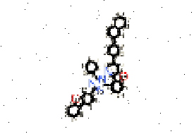 c1ccc(-c2nc(-c3ccc4c(c3)oc3ccccc34)nc(-c3cccc4oc5cc(-c6ccc(-c7ccc8ccccc8c7)cc6)cnc5c34)n2)cc1